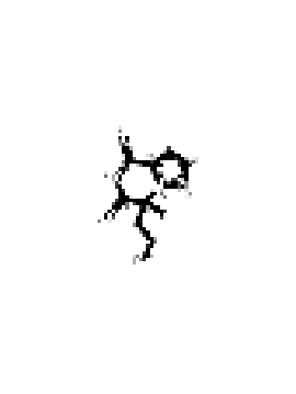 CC(C)CCC1(C)C(=O)OC(=O)c2ccnn21